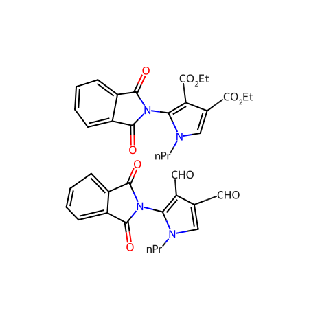 CCCn1cc(C(=O)OCC)c(C(=O)OCC)c1N1C(=O)c2ccccc2C1=O.CCCn1cc(C=O)c(C=O)c1N1C(=O)c2ccccc2C1=O